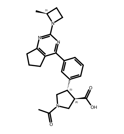 CC(=O)N1C[C@H](C(=O)O)[C@@H](c2cccc(-c3nc(N4CC[C@@H]4C)nc4c3CCC4)c2)C1